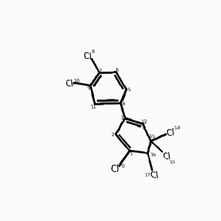 ClC1=CC(c2ccc(Cl)c(Cl)c2)=CC(Cl)(Cl)C1Cl